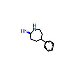 N=C1CCC(c2ccccc2)CCN1